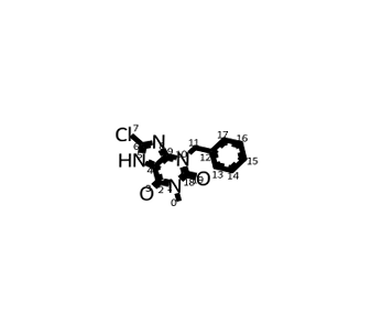 Cn1c(=O)c2[nH]c(Cl)nc2n(Cc2ccccc2)c1=O